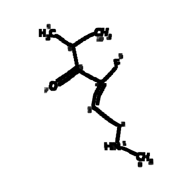 CNC/C=C(\F)C(=O)C(C)C